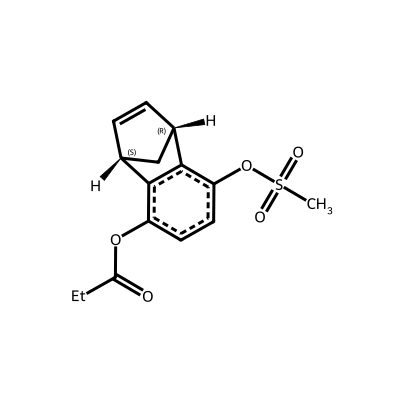 CCC(=O)Oc1ccc(OS(C)(=O)=O)c2c1[C@@H]1C=C[C@H]2C1